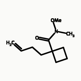 C=CCCC1(C(=O)N(C)OC)CCC1